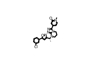 C[C@H](c1cc(-c2cccc(Cl)c2)on1)N1CCCn2c(-c3ccn(C)c(=O)c3)nnc21